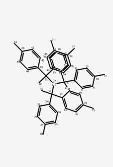 Cc1ccc([C](C)(c2ccc(C)cc2)[Cr]([C](C)(c2ccc(C)cc2)c2ccc(C)cc2)[C](C)(c2ccc(C)cc2)c2ccc(C)cc2)cc1